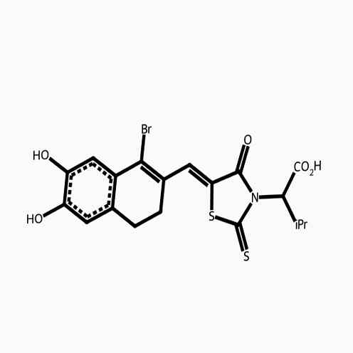 CC(C)C(C(=O)O)N1C(=O)C(=CC2=C(Br)c3cc(O)c(O)cc3CC2)SC1=S